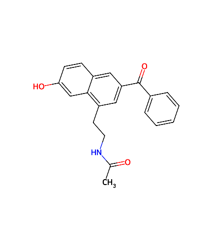 CC(=O)NCCc1cc(C(=O)c2ccccc2)cc2ccc(O)cc12